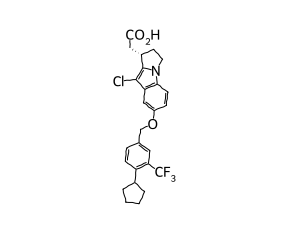 O=C(O)C[C@@H]1CCn2c1c(Cl)c1cc(OCc3ccc(C4CCCC4)c(C(F)(F)F)c3)ccc12